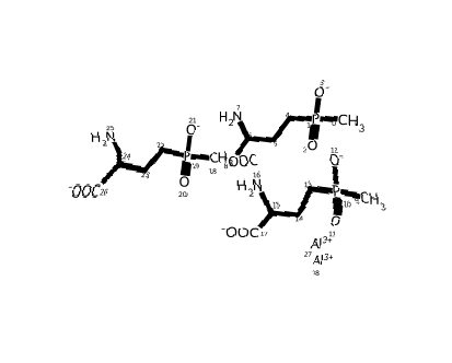 CP(=O)([O-])CCC(N)C(=O)[O-].CP(=O)([O-])CCC(N)C(=O)[O-].CP(=O)([O-])CCC(N)C(=O)[O-].[Al+3].[Al+3]